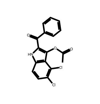 CC(=O)Oc1c(C(=O)c2ccccc2)[nH]c2ccc(Cl)c(Cl)c12